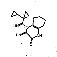 N=C(n1c2c([nH]c(=O)c1=N)CCCC2)C1(C2CC2)CC1